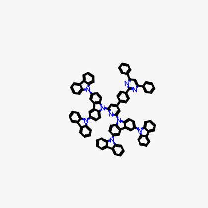 c1ccc(-c2cc(-c3ccccc3)nc(-c3ccc(-c4cc(-n5c6ccc(-n7c8ccccc8c8ccccc87)cc6c6cc(-n7c8ccccc8c8ccccc87)ccc65)nc(-n5c6ccc(-n7c8ccccc8c8ccccc87)cc6c6cc(-n7c8ccccc8c8ccccc87)ccc65)c4)cc3)n2)cc1